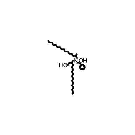 CCCCCCCCCCCCCCC(C)CN(CC(CCO)CCCCCCCCCCCCCC)CC(O)c1ccccc1